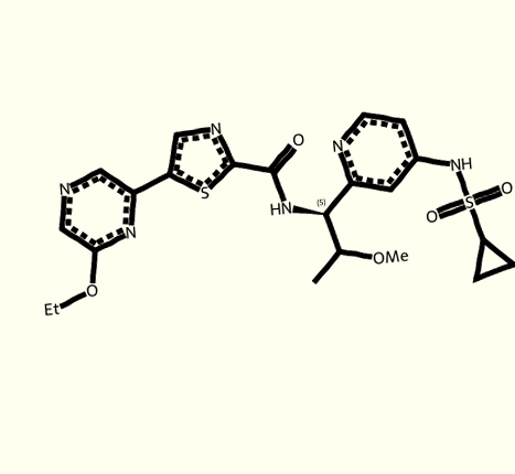 CCOc1cncc(-c2cnc(C(=O)N[C@@H](c3cc(NS(=O)(=O)C4CC4)ccn3)C(C)OC)s2)n1